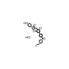 Cl.O=C(c1ccc(-c2cc(Cl)c(CC3CCN([C@H]4CC[C@@H](O)CC4)C3=O)c(Cl)c2)cc1)N1CCN(CCF)CC1